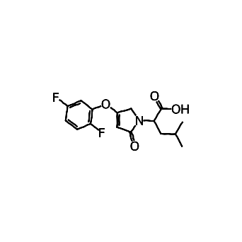 CC(C)CC(C(=O)O)N1CC(Oc2cc(F)ccc2F)=CC1=O